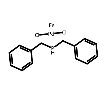 [Cl][Pd][Cl].[Fe].c1ccc(CPCc2ccccc2)cc1